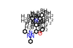 Bc1c(B)c(B)c(N(c2c(B)c(B)c(-c3cc(-c4nc(-c5ccccc5)nc(-c5ccccc5)n4)cc4oc5ccccc5c34)c(B)c2B)c2c(B)c(B)c3c(B)c(B)c(B)c(B)c3c2B)c(B)c1B